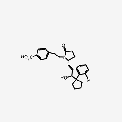 O=C(O)c1ccc(CCN2C(=O)CC[C@@H]2/C=C/[C@H](O)C2(c3ccccc3F)CCCC2)cc1